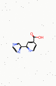 O=C(O)c1ccnc(-c2cnccn2)c1